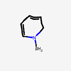 BN1C=CC=CC1